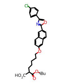 CCC(C)OC(=O)C(CCCCCOc1ccc2cc(-c3nc(-c4ccc(Cl)cc4)co3)ccc2c1)C(=O)O